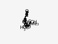 CO[C@H]1C([C@@]2(C)O[C@@H]2CC=C(C)C)[C@]2(CC[C@H]1OC(=O)N1CC(CCN3CC4(COC4)C3)C1)CO2